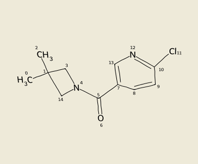 CC1(C)CN(C(=O)c2ccc(Cl)nc2)C1